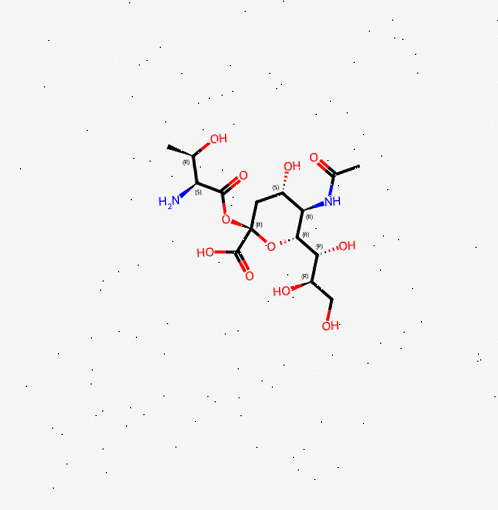 CC(=O)N[C@H]1[C@H]([C@H](O)[C@H](O)CO)O[C@](OC(=O)[C@@H](N)[C@@H](C)O)(C(=O)O)C[C@@H]1O